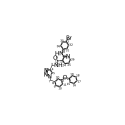 O=C(NCc1cn(Cc2cccc(Oc3ccccc3)c2)nn1)c1cccnc1Nc1ccc(Br)cc1